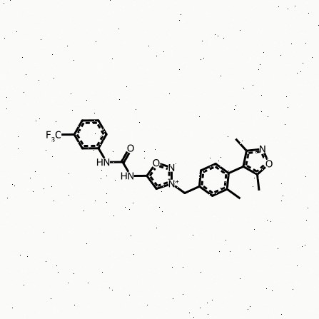 Cc1cc(C[n+]2cc(NC(=O)Nc3cccc(C(F)(F)F)c3)on2)ccc1-c1c(C)noc1C